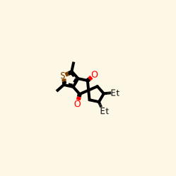 CCC1CC2(CC1CC)C(=O)c1c(C)sc(C)c1C2=O